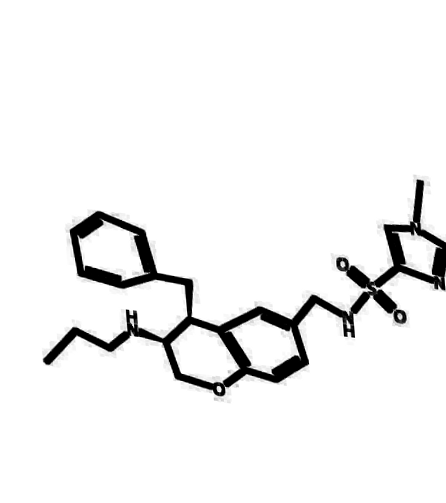 CCCN[C@@H]1COc2ccc(CNS(=O)(=O)c3cn(C)cn3)cc2[C@@H]1Cc1ccccc1